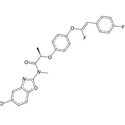 C[C@@H](Oc1ccc(OC(F)=Cc2ccc(F)cc2)cc1)C(=O)N(C)c1nc2cc(Cl)ccc2o1